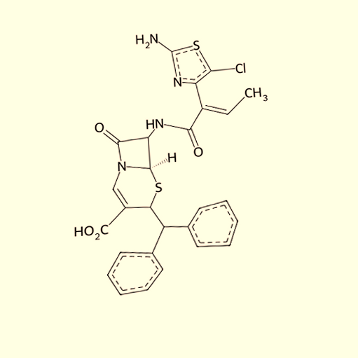 CC=C(C(=O)NC1C(=O)N2C=C(C(=O)O)C(C(c3ccccc3)c3ccccc3)S[C@H]12)c1nc(N)sc1Cl